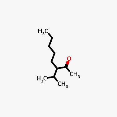 CCCCCC(C(C)=O)C(C)C